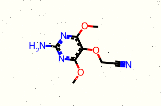 COc1nc(N)nc(OC)c1OCC#N